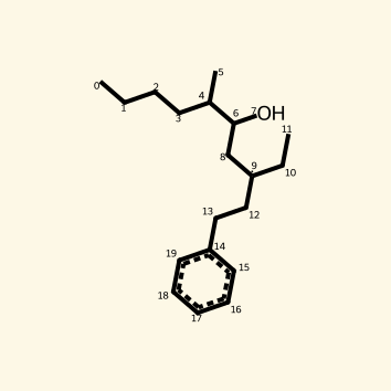 CCCCC(C)C(O)C[C](CC)CCc1ccccc1